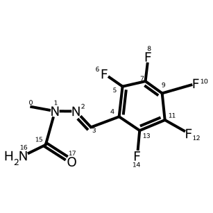 CN(N=Cc1c(F)c(F)c(F)c(F)c1F)C(N)=O